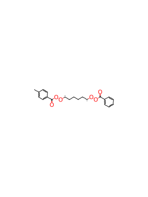 Cc1ccc(C(=O)OO[CH]CCCC[CH]OOC(=O)c2ccccc2)cc1